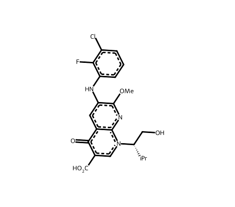 COc1nc2c(cc1Nc1cccc(Cl)c1F)c(=O)c(C(=O)O)cn2[C@H](CO)C(C)C